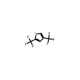 FC(F)(F)c1[c]sc(C(F)(F)F)c1